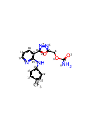 NC(=O)OCc1nnc(-c2cccnc2Nc2ccc(C(F)(F)F)cc2)o1